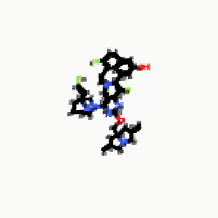 C#Cc1c(F)ccc2cc(O)cc(-c3ncc4c(N5CC6CCC(C=CF)(C5)N6)nc(OCC56CC(=C)CN5CC(=C)C6)nc4c3F)c12